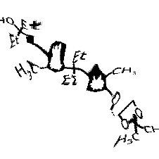 CCC(O)(/C=C/c1ccc(C(CC)(CC)c2ccc(OC[C@@H]3COC(C)(C)O3)c(C)c2)cc1C)CC